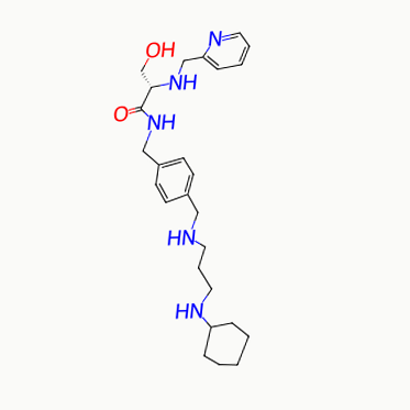 O=C(NCc1ccc(CNCCCNC2CCCCC2)cc1)[C@H](CO)NCc1ccccn1